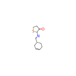 O=C1CCSC1N=CC1CC=CCC1